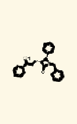 O=C1[C@H](CCC(O)c2ccccc2)[C@@H](c2ccccc2)N1Cc1ccccc1